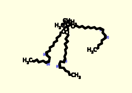 CCCCC/C=C\C/C=C\CCCCCCCCOCC(COCCCCCCCC/C=C\C/C=C\CCCCC)(COCCCCCCCC/C=C\C/C=C\CCCCC)[N+](C)(C)C